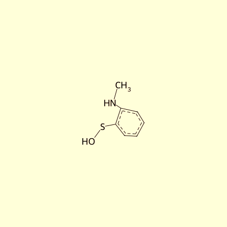 CNc1ccccc1SO